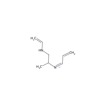 C=C/C=N\C(C)CNC=C